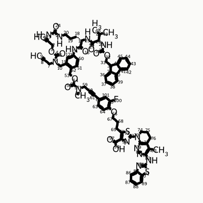 C#CCOC(=O)N(CC#C)Cc1cc(NC(=O)[C@H](CCCNC(N)=O)NC(=O)[C@@H](NC(=O)OCC2c3ccccc3-c3ccccc32)C(C)C)ccc1COC(=O)N(C)CC#Cc1ccc(OCCCc2sc(N3CCCc4c3nnc(Nc3nc5ccccc5s3)c4C)nc2C(=O)O)c(F)c1